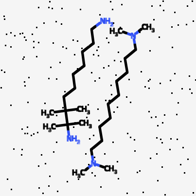 CC(C)(N)C(C)(C)CCCCCCCN.CN(C)CCCCCCCCCCN(C)C